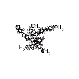 C=Cc1ccc(COc2ccc(-c3ccc(OCc4ccc(C=C)cc4)c(C(c4cc(-c5ccc(OCc6ccc(C=C)cc6)cc5)ccc4OCc4ccc(C=C)cc4)c4cc(I)cc(I)c4OCc4ccc(C=C)cc4)c3)cc2)cc1